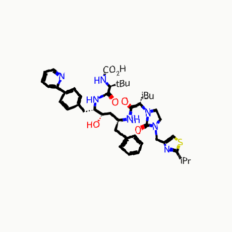 CCC(C)[C@@H](C(=O)N[C@@H](Cc1ccccc1)C[C@H](O)[C@H](Cc1ccc(-c2ccccn2)cc1)NC(=O)[C@@H](NC(=O)O)C(C)(C)C)N1CCN(Cc2csc(C(C)C)n2)C1=O